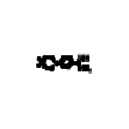 CC1(C)CCN(c2ccc(C(=N)N)cc2)CC1